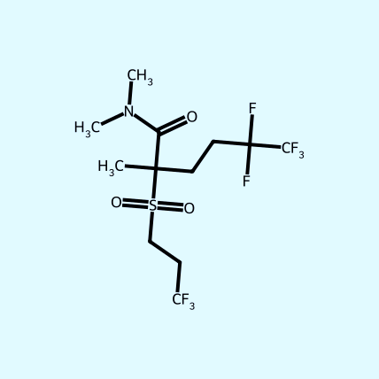 CN(C)C(=O)C(C)(CCC(F)(F)C(F)(F)F)S(=O)(=O)CCC(F)(F)F